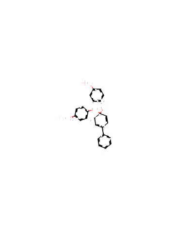 Oc1ccc(OC2(Oc3ccc(O)cc3)C=CC(c3ccccc3)=CC2)cc1